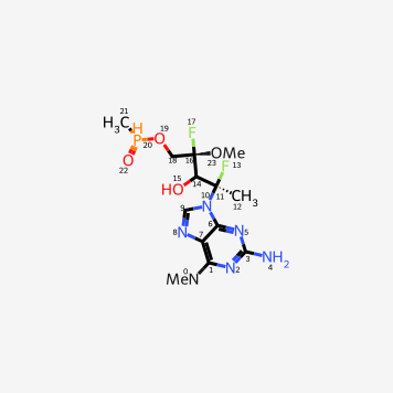 CNc1nc(N)nc2c1ncn2[C@](C)(F)C(O)[C@@](F)(CO[PH](C)=O)OC